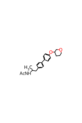 CC(=O)NC(C)Cc1ccc(-c2ccc(OC3CCCOC3)cc2)cc1